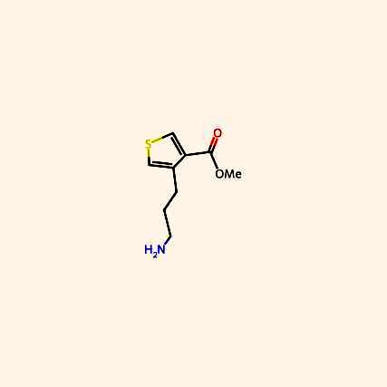 COC(=O)c1cscc1CCCN